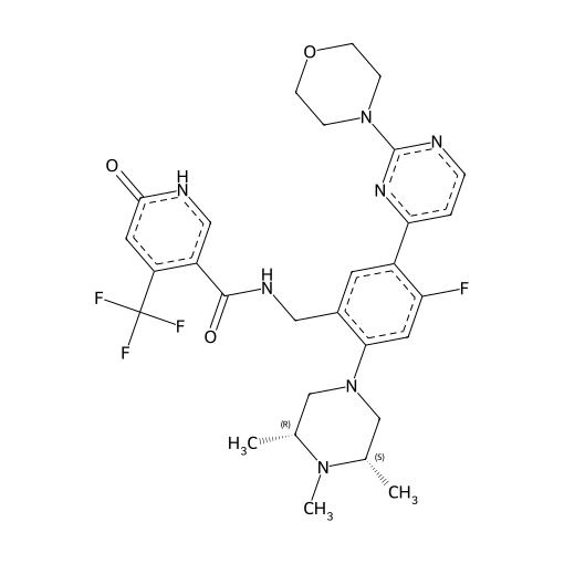 C[C@@H]1CN(c2cc(F)c(-c3ccnc(N4CCOCC4)n3)cc2CNC(=O)c2c[nH]c(=O)cc2C(F)(F)F)C[C@H](C)N1C